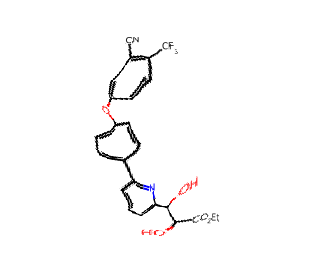 CCOC(=O)C(O)C(O)c1cccc(-c2ccc(Oc3ccc(C(F)(F)F)c(C#N)c3)cc2)n1